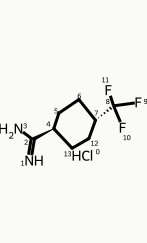 Cl.N=C(N)[C@H]1CC[C@H](C(F)(F)F)CC1